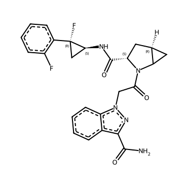 NC(=O)c1nn(CC(=O)N2C3C[C@@H]3C[C@H]2C(=O)N[C@H]2C[C@@]2(F)c2ccccc2F)c2ccccc12